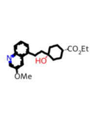 CCOC(=O)[C@H]1CC[C@](O)(CCc2cccc3ncc(OC)cc23)CC1